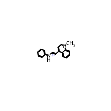 CN1CC=C(/C=C/Nc2ccccc2)c2ccccc21